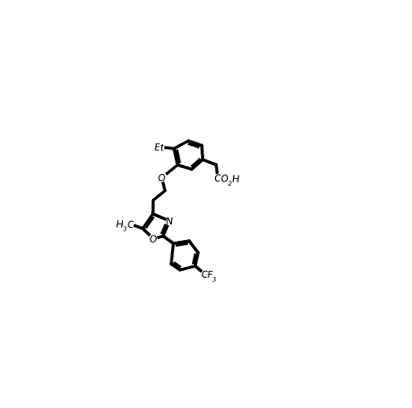 CCc1ccc(CC(=O)O)cc1OCCc1nc(-c2ccc(C(F)(F)F)cc2)oc1C